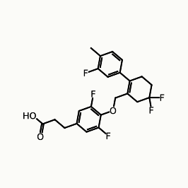 Cc1ccc(C2=C(COc3c(F)cc(CCC(=O)O)cc3F)CC(F)(F)CC2)cc1F